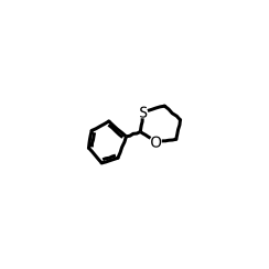 c1ccc(C2OCCCS2)cc1